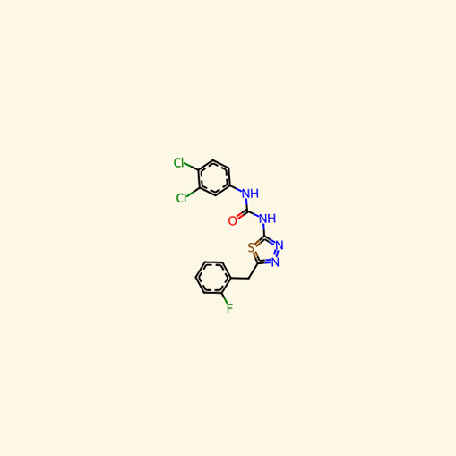 O=C(Nc1ccc(Cl)c(Cl)c1)Nc1nnc(Cc2ccccc2F)s1